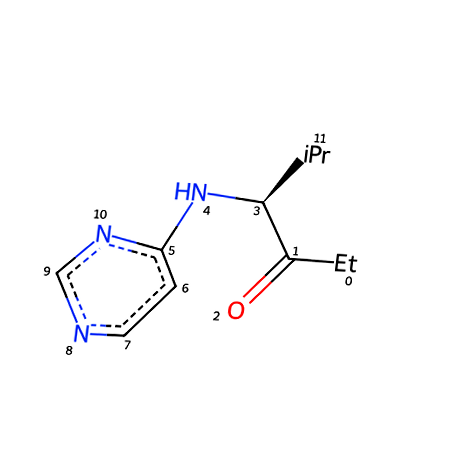 CCC(=O)[C@@H](Nc1ccncn1)C(C)C